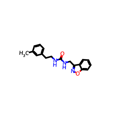 Cc1cccc(CCNC(=O)NCc2noc3ccccc23)c1